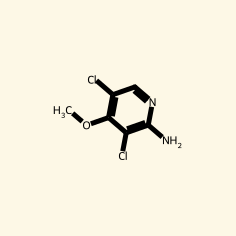 COc1c(Cl)cnc(N)c1Cl